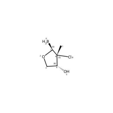 B[C@@H]1OC[C@@H](O)[C@@]1(C)Cl